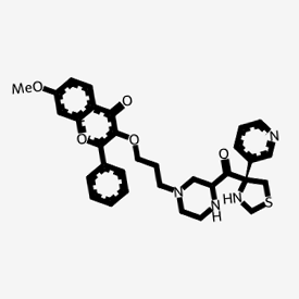 COc1ccc2c(=O)c(OCCCN3CCNC(C(=O)[C@]4(c5cccnc5)CSCN4)C3)c(-c3ccccc3)oc2c1